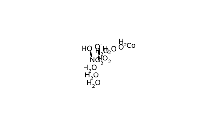 O.O.O.O.O.O.O=[N+]([O-])O.O=[N+]([O-])[O-].[Co]